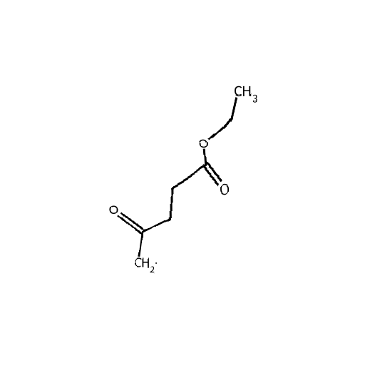 [CH2]C(=O)CCC(=O)OCC